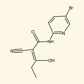 CCC(O)=C(C#N)C(=O)Nc1ccc(Br)cn1